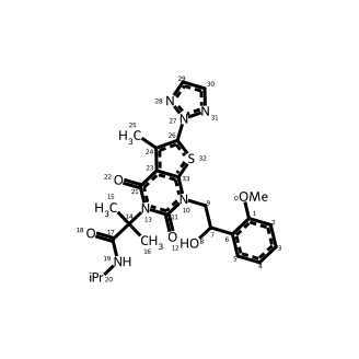 COc1ccccc1C(O)Cn1c(=O)n(C(C)(C)C(=O)NC(C)C)c(=O)c2c(C)c(-n3nccn3)sc21